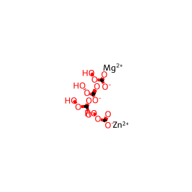 O=C([O-])OO.O=C([O-])OO.O=C([O-])OO.O=C([O-])OO.[Mg+2].[Zn+2]